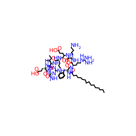 CCCCCCCCCCCCCCCC(=O)N[C@@H](Cc1ccccc1)C(=O)NC(CCCNC(=N)N)C(=O)N[C@@H](CCCCN)C(=O)NC(CCC(=O)O)C(=O)N[C@@H](CCCNC(=N)N)C(=O)N[C@H](C(=O)N[C@@H](CCC(=O)O)C(=O)NCC(=O)NC)[C@@H](C)CC